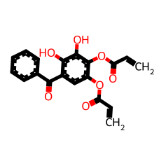 C=CC(=O)Oc1cc(C(=O)c2ccccc2)c(O)c(O)c1OC(=O)C=C